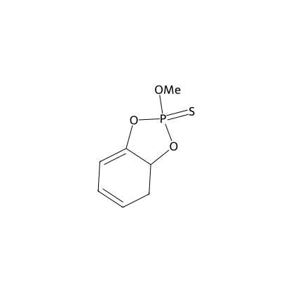 COP1(=S)OC2=CC=CCC2O1